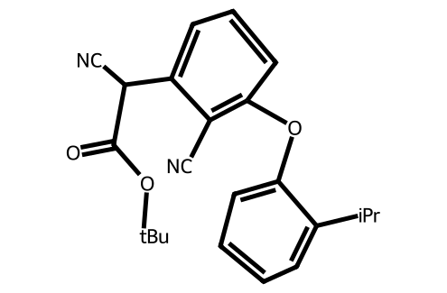 CC(C)c1ccccc1Oc1cccc(C(C#N)C(=O)OC(C)(C)C)c1C#N